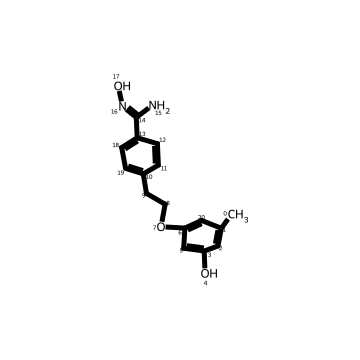 Cc1cc(O)cc(OCCc2ccc(C(N)=NO)cc2)c1